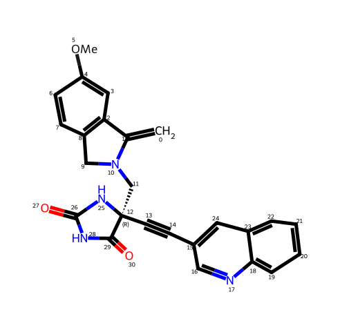 C=C1c2cc(OC)ccc2CN1C[C@@]1(C#Cc2cnc3ccccc3c2)NC(=O)NC1=O